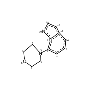 c1cc(N2CCOCC2)n2nccc2c1